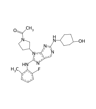 CC(=O)N1CCC(n2c(Nc3c(C)cccc3F)nc3cnc(NC4CCC(O)CC4)nc32)C1